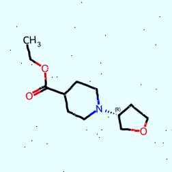 CCOC(=O)C1CCN([C@@H]2CCOC2)CC1